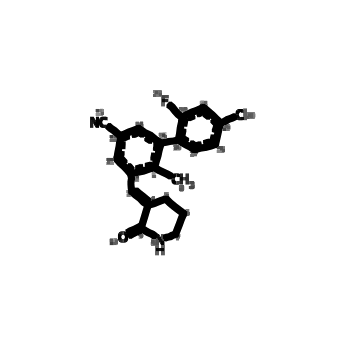 Cc1c(/C=C2\CCCNC2=O)cc(C#N)cc1-c1ccc(Cl)cc1F